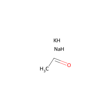 CC=O.[KH].[NaH]